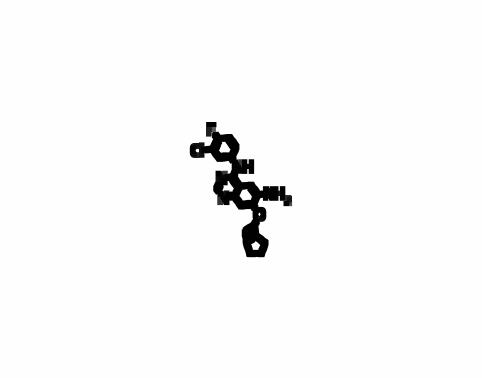 Nc1cc2c(Nc3ccc(F)c(Cl)c3)ncnc2cc1OC1C2C3CCCC312